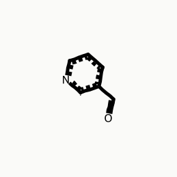 O=Cc1[c]nccc1